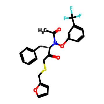 CC(=O)N(Oc1cccc(C(F)(F)F)c1)[C@@H](Cc1ccccc1)C(=O)CSCc1ccco1